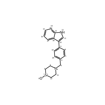 [O-][S+]1CCN(Cc2ccc(-c3c[nH]c4ncccc34)cc2)CC1